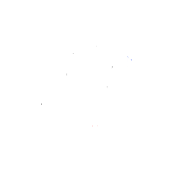 COc1cccc2c1C[C@@H](N(C)C)CC2